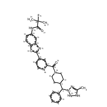 CC1=NN(C(c2ccccc2)C2CCN(C(=O)c3cc(-c4nc5cc(NC(=O)C(C)(C)F)ccc5o4)ccn3)CC2)NN1